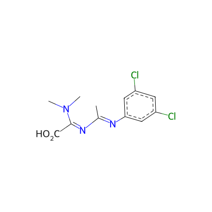 CC(/N=C(/C(=O)O)N(C)C)=N\c1cc(Cl)cc(Cl)c1